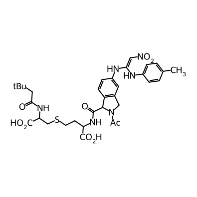 CC(=O)N1Cc2cc(NC(=C[N+](=O)[O-])Nc3ccc(C)cc3)ccc2C1C(=O)NC(CCSCC(NC(=O)CC(C)(C)C)C(=O)O)C(=O)O